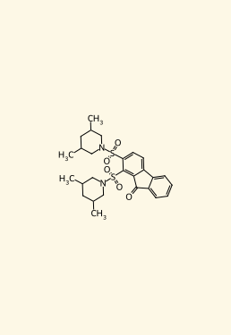 CC1CC(C)CN(S(=O)(=O)c2ccc3c(c2S(=O)(=O)N2CC(C)CC(C)C2)C(=O)c2ccccc2-3)C1